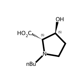 CCCCN1CC[C@H](O)[C@H]1C(=O)O